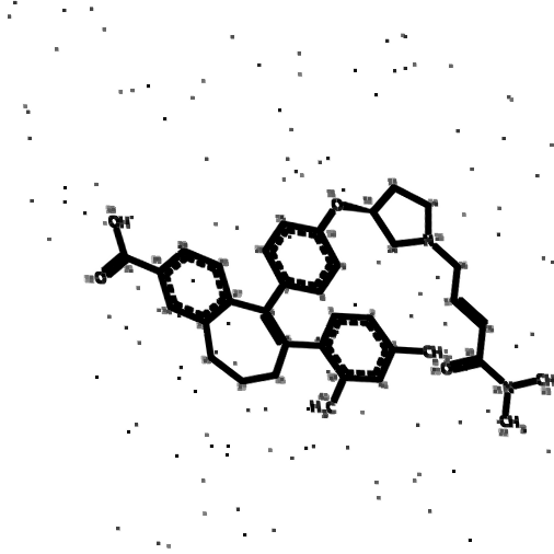 Cc1ccc(C2=C(c3ccc(O[C@H]4CCN(CC=CC(=O)N(C)C)C4)cc3)c3ccc(C(=O)O)cc3CCC2)c(C)c1